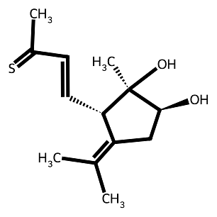 CC(=S)/C=C/[C@H]1C(=C(C)C)C[C@H](O)[C@]1(C)O